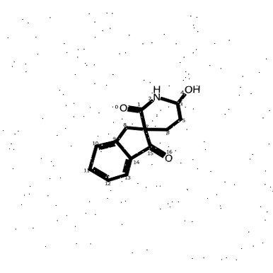 O=C1NC(O)CCC12Cc1ccccc1C2=O